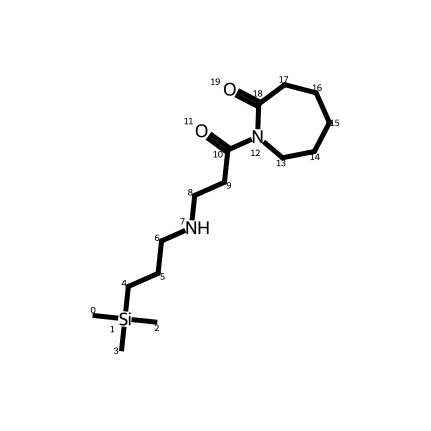 C[Si](C)(C)CCCNCCC(=O)N1CCCCCC1=O